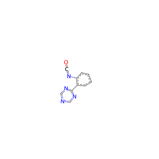 O=C=Nc1ccccc1-c1ncncn1